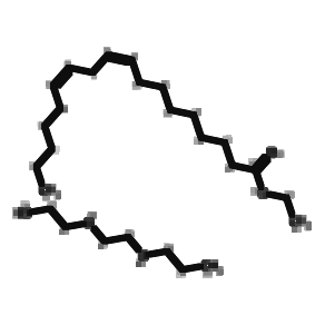 CCCCC/C=C\C/C=C\CCCCCCCC(=O)OCC.CCCOCCOCCO